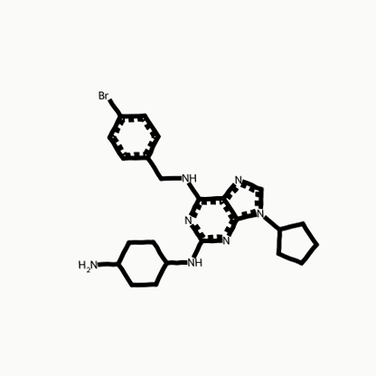 NC1CCC(Nc2nc(NCc3ccc(Br)cc3)c3ncn(C4CCCC4)c3n2)CC1